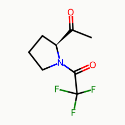 CC(=O)[C@@H]1CCCN1C(=O)C(F)(F)F